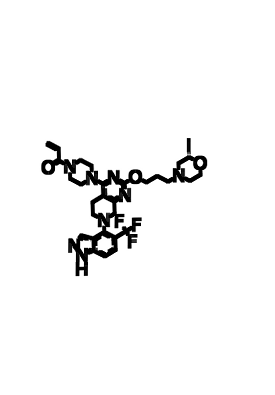 C=CC(=O)N1CCN(c2nc(OCCCN3CCO[C@@H](I)C3)nc3c2CCN(c2c(C(F)(F)F)ccc4[nH]ncc24)C3)CC1